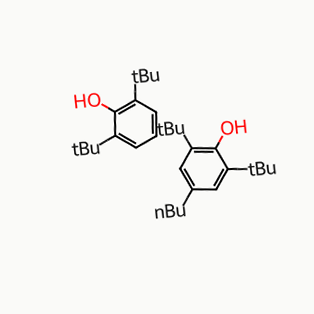 CC(C)(C)c1cccc(C(C)(C)C)c1O.CCCCc1cc(C(C)(C)C)c(O)c(C(C)(C)C)c1